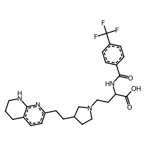 O=C(NC(CCN1CCC(CCc2ccc3c(n2)NCCC3)C1)C(=O)O)c1ccc(C(F)(F)F)cc1